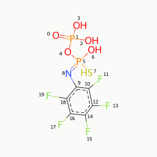 O=P(O)(O)OP(O)(S)=Nc1c(F)c(F)c(F)c(F)c1F